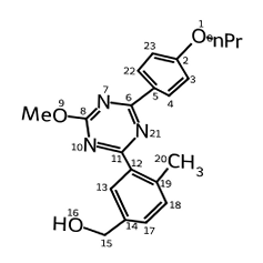 CCCOc1ccc(-c2nc(OC)nc(-c3cc(CO)ccc3C)n2)cc1